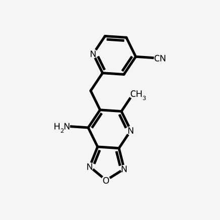 Cc1nc2nonc2c(N)c1Cc1cc(C#N)ccn1